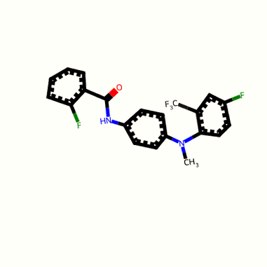 CN(c1ccc(NC(=O)c2ccccc2F)cc1)c1ccc(F)cc1C(F)(F)F